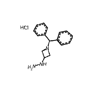 Cl.NNC1CN(C(c2ccccc2)c2ccccc2)C1